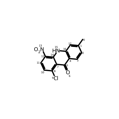 Cc1ccc2c(=O)c3c(Cl)ccc([N+](=O)[O-])c3[nH]c2c1